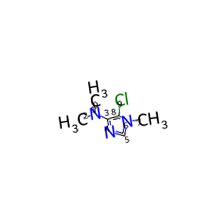 CN(C)c1ncn(C)c1Cl